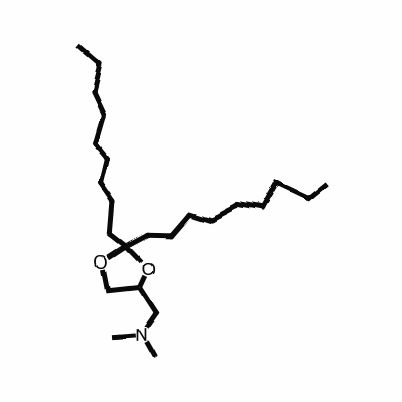 CCCCCCCCCC1(CCCCCCCCC)OCC(CN(C)C)O1